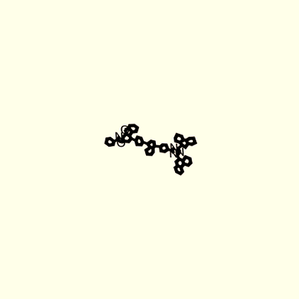 c1ccc(-c2nc3c(cc(-c4ccc(-c5ccc(-c6ccc(-c7nc(-c8cc9ccccc9c9ccccc89)nc(-c8cc9ccccc9c9ccccc89)n7)cc6)c6ccccc56)cc4)c4c5ccccc5oc34)o2)cc1